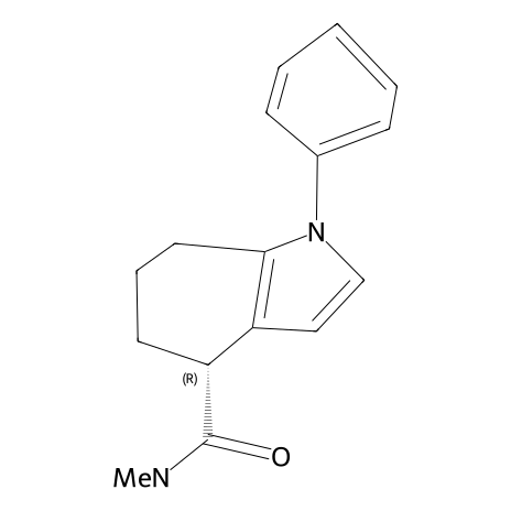 CNC(=O)[C@@H]1CCCc2c1ccn2-c1ccccc1